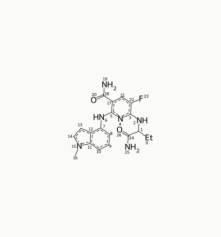 CCC(Nc1nc(Nc2cccc3c2ccn3C)c(C(N)=O)cc1F)C(N)=O